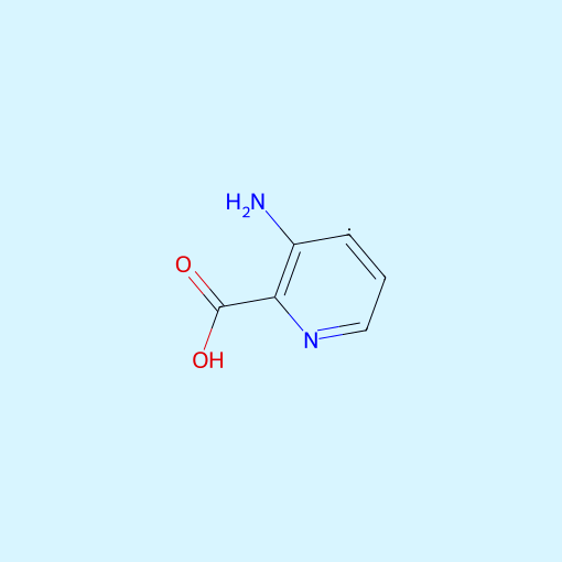 Nc1[c]ccnc1C(=O)O